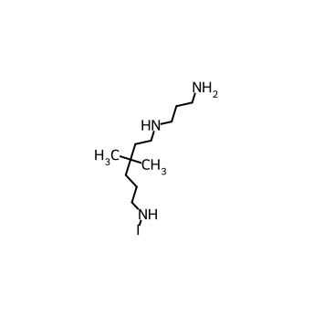 CC(C)(CCCNI)CCNCCCN